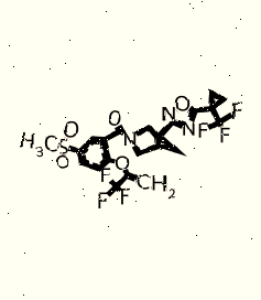 C=C(Oc1ccc(S(C)(=O)=O)cc1C(=O)N1CC2CC2(c2noc(C3(C(F)(F)F)CC3)n2)C1)C(F)(F)F